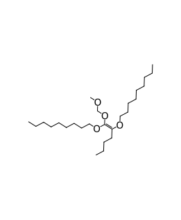 CCCCCCCCCOC(CCCC)=C(OCCCCCCCCC)OCOC